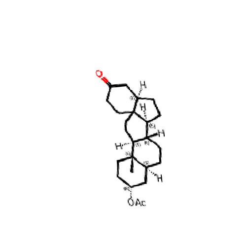 CC(=O)O[C@@H]1CC[C@@]2(C)[C@@H](CC[C@H]3[C@@H]4CC[C@@H]5CC(=O)CCC54CC[C@@H]32)C1